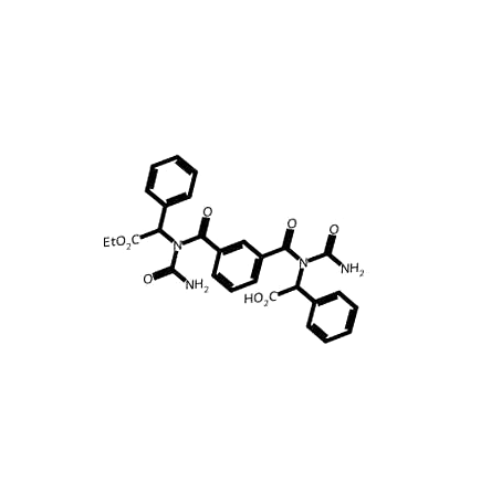 CCOC(=O)C(c1ccccc1)N(C(N)=O)C(=O)c1cccc(C(=O)N(C(N)=O)C(C(=O)O)c2ccccc2)c1